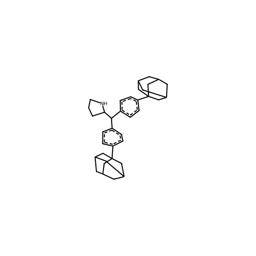 c1cc(C23CC4CC(CC(C4)C2)C3)ccc1C(c1ccc(C23CC4CC(CC(C4)C2)C3)cc1)C1CCCN1